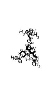 Cc1ncc(-c2cnc3c(ccn3COCC[Si](C)(C)C)c2N[C@@H]2CCCN(C(=O)O)C2)s1